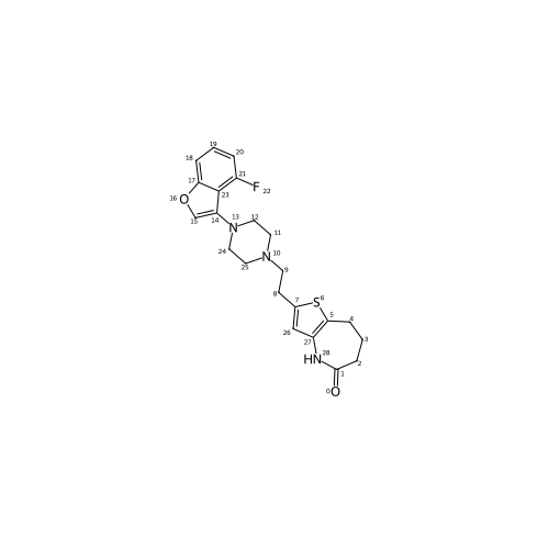 O=C1CCCc2sc(CCN3CCN(c4coc5cccc(F)c45)CC3)cc2N1